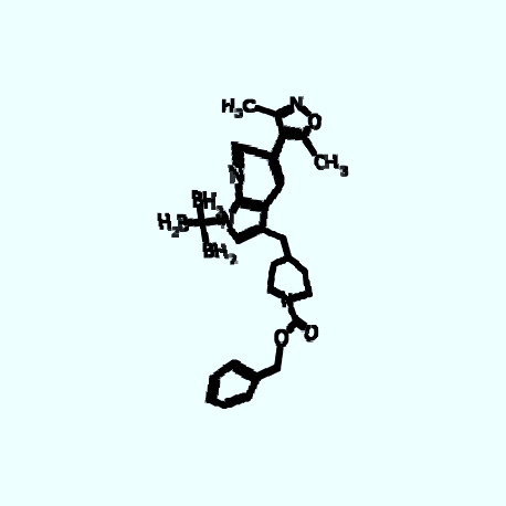 BC(B)(B)n1cc(CC2CCN(C(=O)OCc3ccccc3)CC2)c2cc(-c3c(C)noc3C)cnc21